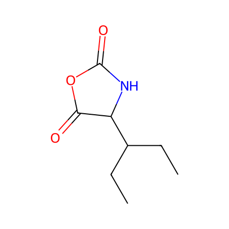 CCC(CC)C1NC(=O)OC1=O